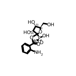 Nc1ccccc1C(=O)OC1(P(=O)(O)O)O[C@H](CO)[C@@H](O)[C@H]1O